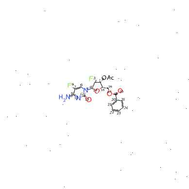 CC(=O)O[C@H]1[C@@H](F)[C@H](n2cc(F)c(N)nc2=O)O[C@@H]1COC(=O)c1ccccc1